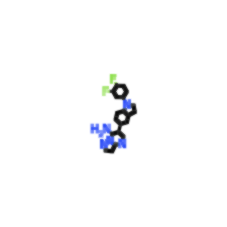 Nc1c(-c2ccc3c(ccn3-c3ccc(F)c(F)c3)c2)cnc2ccnn12